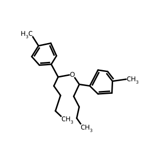 CCCCC(OC(CCCC)c1ccc(C)cc1)c1ccc(C)cc1